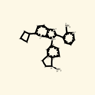 Nc1ncccc1-c1nc2ccc(C3CCC3)nc2n1-c1ccc2c(c1)CC[C@@H]2N